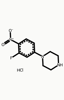 Cl.O=[N+]([O-])c1ccc(N2CCNCC2)cc1F